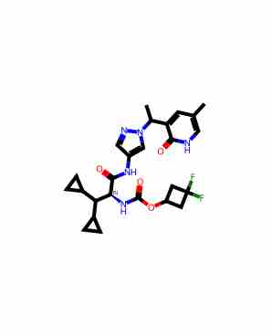 Cc1c[nH]c(=O)c(C(C)n2cc(NC(=O)[C@@H](NC(=O)OC3CC(F)(F)C3)C(C3CC3)C3CC3)cn2)c1